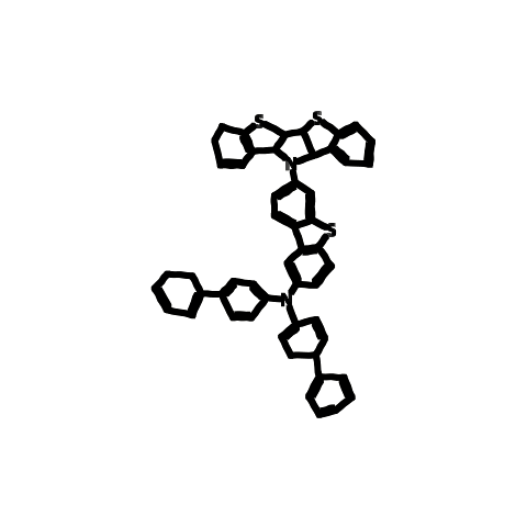 C1=CCCC(c2ccc(N(C3=CCC(c4ccccc4)C=C3)c3ccc4sc5cc(N6C7C8=C(CCC=C8)SC7C7Sc8ccccc8C76)ccc5c4c3)cc2)=C1